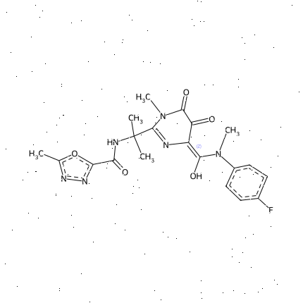 Cc1nnc(C(=O)NC(C)(C)C2=N/C(=C(\O)N(C)c3ccc(F)cc3)C(=O)C(=O)N2C)o1